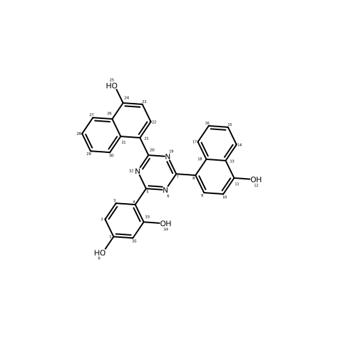 Oc1ccc(-c2nc(-c3ccc(O)c4ccccc34)nc(-c3ccc(O)c4ccccc34)n2)c(O)c1